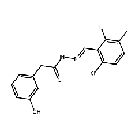 Cc1ccc(Cl)c(/C=N/NC(=O)Cc2cccc(O)c2)c1F